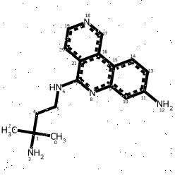 CC(C)(N)CCNc1nc2cc(N)ccc2c2cnccc12